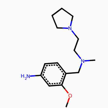 COc1cc(N)ccc1CN(C)CCN1CCCC1